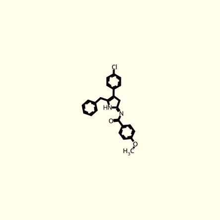 COc1ccc(C(=O)/N=C2/CC(c3ccc(Cl)cc3)=C(Cc3ccccc3)N2)cc1